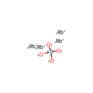 [O-][Ti]([O-])([O-])[O-].[Rb+].[Rb+].[Rb+].[Rb+]